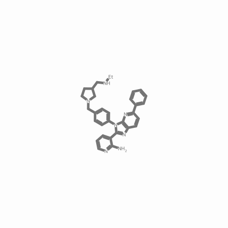 CCNCC1CCN(Cc2ccc(-n3c(-c4cccnc4N)nc4ccc(-c5ccccc5)nc43)cc2)C1